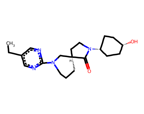 CCc1cnc(N2CCC[C@@]3(CCN([C@H]4CC[C@@H](O)CC4)C3=O)C2)nc1